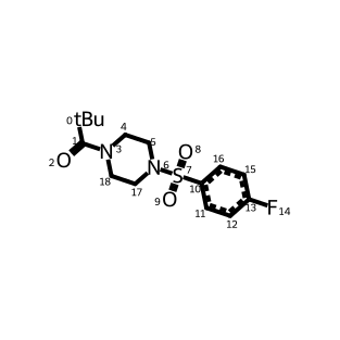 CC(C)(C)C(=O)N1CCN(S(=O)(=O)c2ccc(F)cc2)CC1